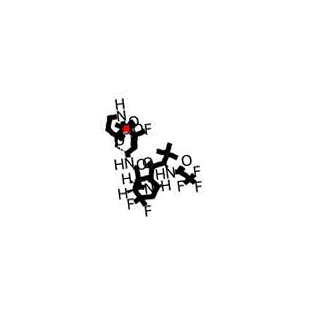 CC(C)(C)[C@@H](NC(=O)C(F)(F)F)C(=O)N1[C@@H]2CC[C@H]([C@H]1C(=O)N[C@@H](/C=C(/F)S(C)(=O)=O)C[C@H]1CCNC1=O)C(F)(F)C2